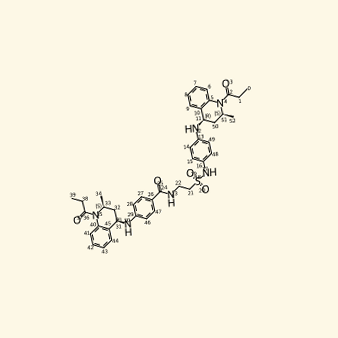 CCC(=O)N1c2ccccc2[C@H](Nc2ccc(NS(=O)(=O)CCNC(=O)c3ccc(N[C@@H]4C[C@H](C)N(C(=O)CC)c5ccccc54)cc3)cc2)C[C@@H]1C